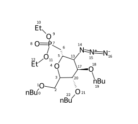 CCCCOCC1O[C@H](CP(=O)(OCC)OCC)C(N=[N+]=[N-])[C@@H](OCCCC)[C@@H]1OCCCC